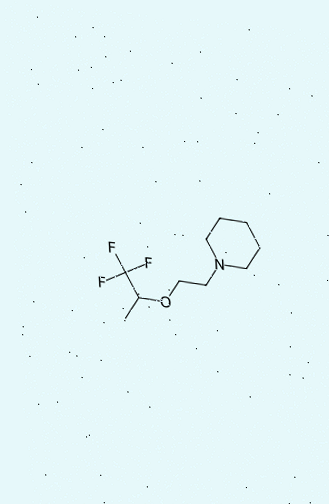 C[C](OCCN1CCCCC1)C(F)(F)F